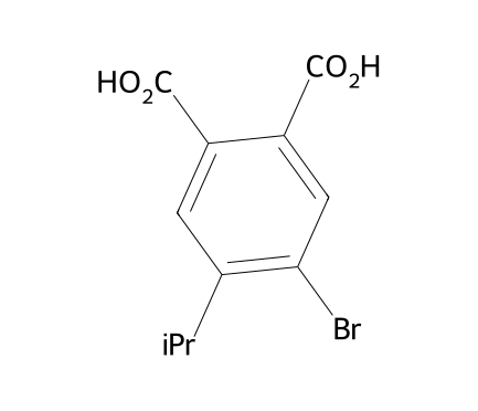 CC(C)c1cc(C(=O)O)c(C(=O)O)cc1Br